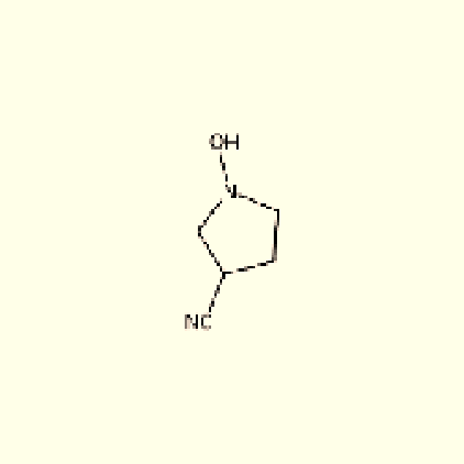 N#CC1CCN(O)C1